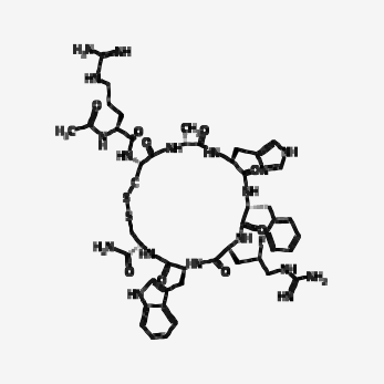 CC(=O)N[C@@H](CCCNC(=N)N)C(=O)N[C@H]1CSSC[C@@H](C(N)=O)NC(=O)[C@H](Cc2c[nH]c3ccccc23)NC(=O)[C@H](CC(F)CNC(=N)N)NC(=O)[C@@H](Cc2ccccc2)NC(=O)[C@H](Cc2c[nH]cn2)NC(=O)[C@@H](C)NC1=O